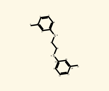 Cc1cccc(SCCSc2cccc(C)c2)c1